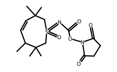 CC1/C=C\C(C)(C)CS(=O)(=NC(=O)ON2C(=O)CCC2=O)CC1(C)C